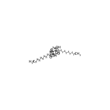 CCCCCCCCCC(=O)O[C@]12OC[C@](O)(OC(=O)CCCCCCCCC)[C@H]1OC[C@@H]2O